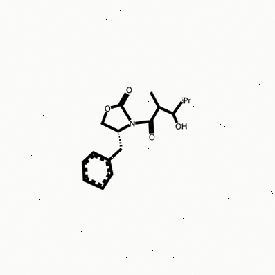 CC(C)C(O)C(C)C(=O)N1C(=O)OC[C@H]1Cc1ccccc1